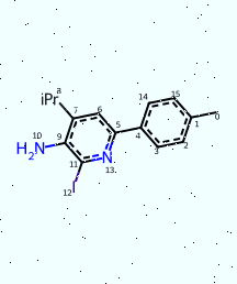 Cc1ccc(-c2cc(C(C)C)c(N)c(I)n2)cc1